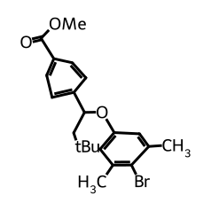 COC(=O)c1ccc(C(CC(C)(C)C)Oc2cc(C)c(Br)c(C)c2)cc1